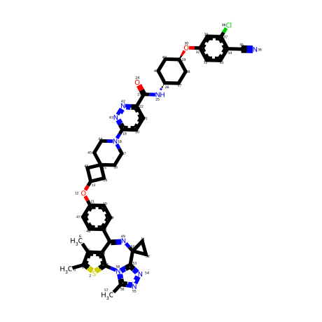 Cc1sc2c(c1C)C(c1ccc(OC3CC4(CCN(c5ccc(C(=O)N[C@H]6CC[C@H](Oc7ccc(C#N)c(Cl)c7)CC6)nn5)CC4)C3)cc1)=NC1(CC1)c1nnc(C)n1-2